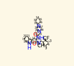 CN(Cc1ccccc1C(F)(F)F)C(=O)C(Cc1c[nH]c2ccccc12)NC(=O)CN1CCN(C2CCCCC2)CC1